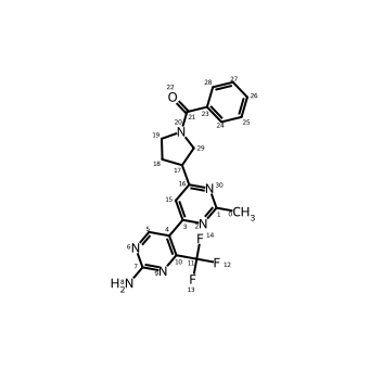 Cc1nc(-c2cnc(N)nc2C(F)(F)F)cc(C2CCN(C(=O)c3ccccc3)C2)n1